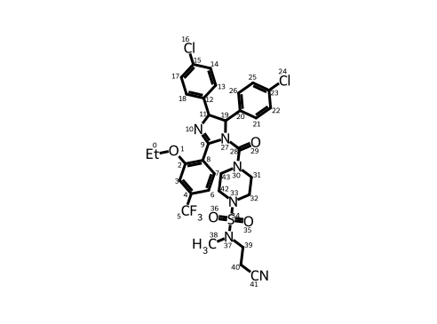 CCOc1cc(C(F)(F)F)ccc1C1=NC(c2ccc(Cl)cc2)C(c2ccc(Cl)cc2)N1C(=O)N1CCN(S(=O)(=O)N(C)CCC#N)CC1